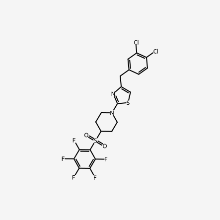 O=S(=O)(c1c(F)c(F)c(F)c(F)c1F)C1CCN(c2nc(Cc3ccc(Cl)c(Cl)c3)cs2)CC1